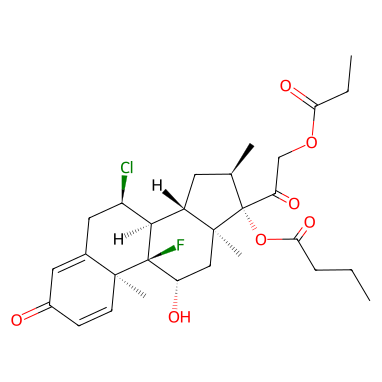 CCCC(=O)O[C@@]1(C(=O)COC(=O)CC)[C@H](C)C[C@H]2[C@@H]3[C@H](Cl)CC4=CC(=O)C=C[C@]4(C)[C@@]3(F)[C@@H](O)C[C@@]21C